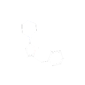 c1ccc(Cc2ccc(N3CCNCC3)o2)cc1